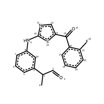 CC(C=O)c1cccc(Nc2ncc(C(=O)c3ccccc3F)s2)c1